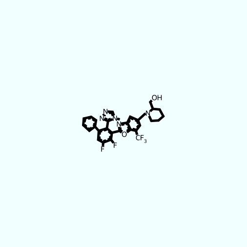 Cn1cnnc1-c1c(-c2ccccc2)cc(F)c(F)c1-c1nc2cc(CN3CCCCC3CO)cc(C(F)(F)F)c2o1